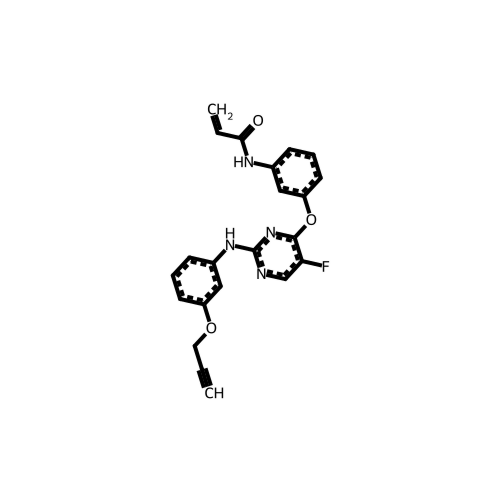 C#CCOc1cccc(Nc2ncc(F)c(Oc3cccc(NC(=O)C=C)c3)n2)c1